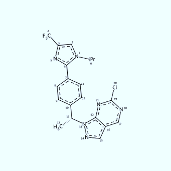 CC(C)n1cc(C(F)(F)F)nc1-c1ccc([C@@H](C)n2ncc3cnc(Cl)nc32)cc1